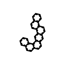 c1ccc2c(c1)ccc1c3cc4c(ccc5ccc6ccccc6c54)cc3ccc21